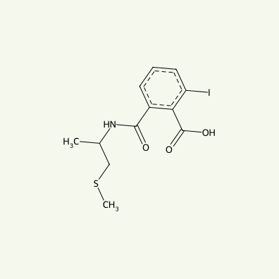 CSCC(C)NC(=O)c1cccc(I)c1C(=O)O